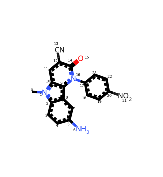 Cn1c2ccc(N)cc2c2c1cc(C#N)c(=O)n2-c1ccc([N+](=O)[O-])cc1